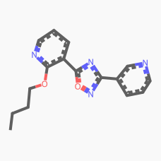 CCCCOc1ncccc1-c1nc(-c2cccnc2)no1